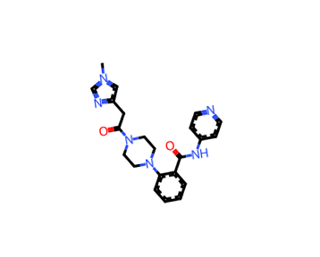 Cn1cnc(CC(=O)N2CCN(c3ccccc3C(=O)Nc3ccncc3)CC2)c1